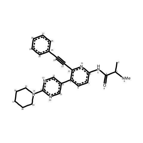 CNC(C)C(=O)Nc1ccc(-c2cnc(N3CCCCC3)nc2)c(C#Cc2ccccc2)n1